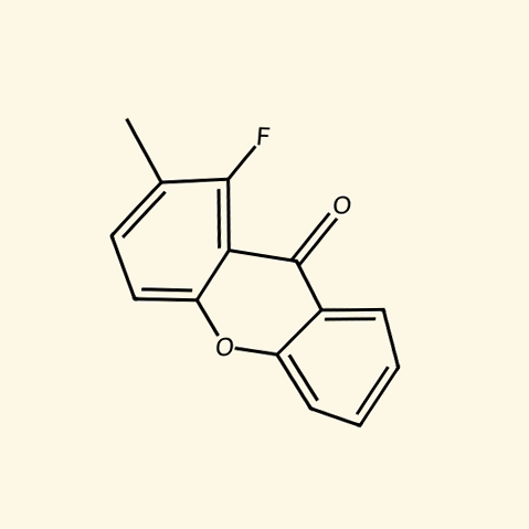 Cc1ccc2oc3ccccc3c(=O)c2c1F